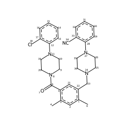 Cc1cc(C)c(C(=O)N2CCN(c3ccccc3Cl)CC2)cc1CN1CCN(c2ccccc2C#N)CC1